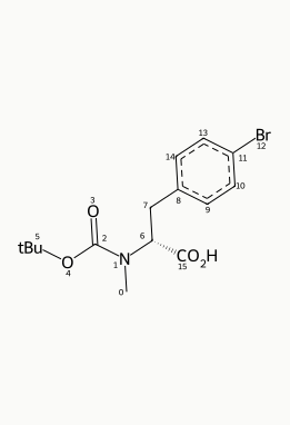 CN(C(=O)OC(C)(C)C)[C@H](Cc1ccc(Br)cc1)C(=O)O